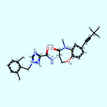 Cc1cccc(C)c1Cn1cnc(C(=O)N[C@H]2COc3ccc(C#CC(C)(C)C)cc3N(C)C2=O)n1